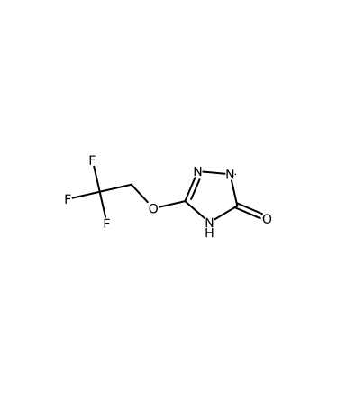 O=C1[N]N=C(OCC(F)(F)F)N1